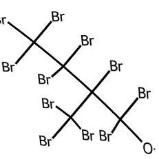 [O]C(Br)(Br)C(Br)(C(Br)(Br)Br)C(Br)(Br)C(Br)(Br)Br